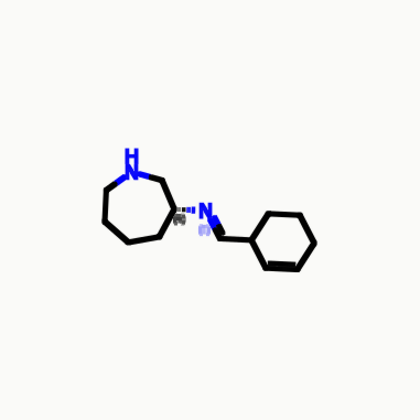 C1=CC(/C=N/[C@@H]2CCCCNC2)CCC1